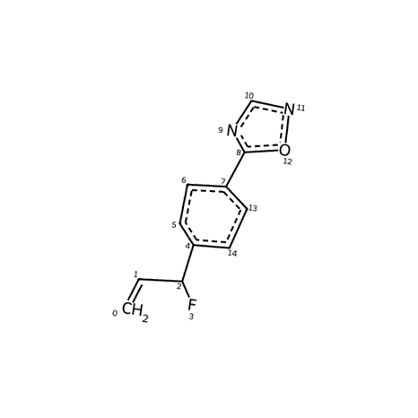 C=CC(F)c1ccc(-c2ncno2)cc1